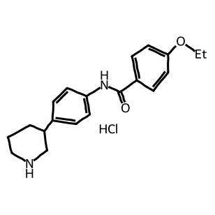 CCOc1ccc(C(=O)Nc2ccc(C3CCCNC3)cc2)cc1.Cl